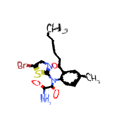 CCCCCC(=O)c1cc(C)ccc1N(C(=O)C(N)=O)c1ncc(Br)s1